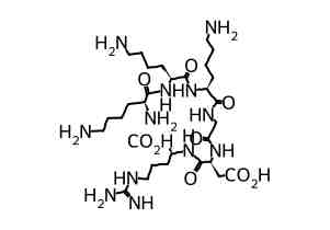 N=C(N)NCCC[C@H](NC(=O)[C@H](CC(=O)O)NC(=O)CNC(=O)[C@H](CCCCN)NC(=O)[C@H](CCCCN)NC(=O)[C@@H](N)CCCCN)C(=O)O